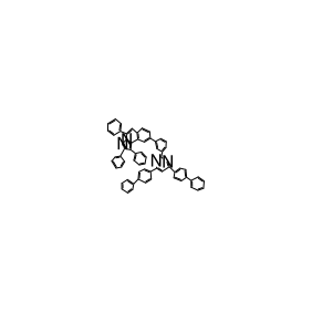 c1ccc(-c2ccc(-c3cc(-c4ccc(-c5ccccc5)cc4)nc(-c4cccc(-c5ccc6cc(-c7ccccc7)n7nc(-c8ccccc8)c(-c8ccccc8)c7c6c5)c4)n3)cc2)cc1